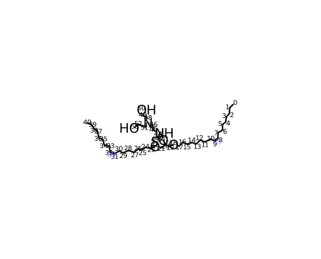 CCCCCCCC/C=C\CCCCCCCCOCC(COCCCCCCCC/C=C\CCCCCCCC)OC(=S)NCCN(CCO)CCO